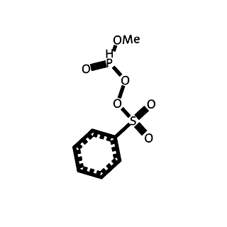 CO[PH](=O)OOS(=O)(=O)c1ccccc1